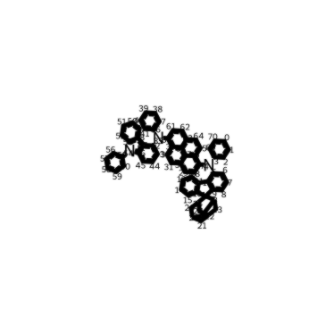 c1ccc(N(c2cccc3c2-c2ccccc2C32C3CC4CC(C3)CC2C4)c2ccc3ccc4c(N(c5ccccc5)c5cccc6c5c5ccccc5n6-c5ccccc5)ccc5ccc2c3c54)cc1